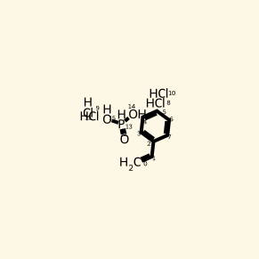 C=Cc1ccccc1.Cl.Cl.Cl.Cl.O=[PH](O)O